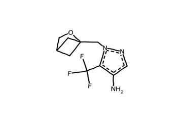 Nc1cnn(CC23CC(CO2)C3)c1C(F)(F)F